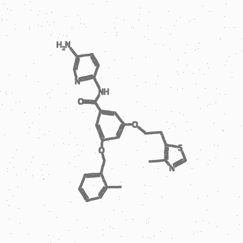 Cc1ccccc1COc1cc(OCCc2scnc2C)cc(C(=O)Nc2ccc(N)cn2)c1